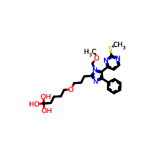 COCn1c(CCCOCCCCC(O)(O)O)nc(-c2ccccc2)c1-c1ccnc(SC)n1